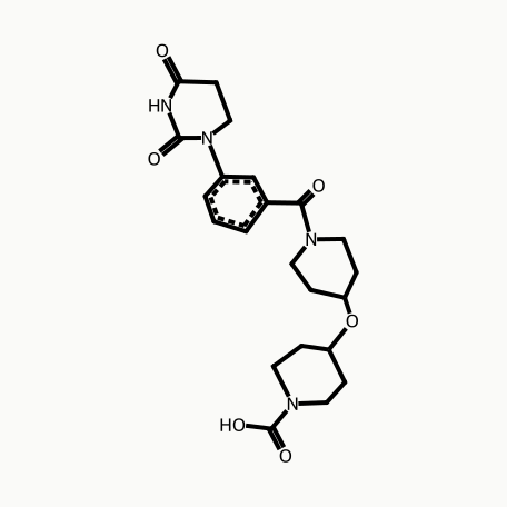 O=C1CCN(c2cccc(C(=O)N3CCC(OC4CCN(C(=O)O)CC4)CC3)c2)C(=O)N1